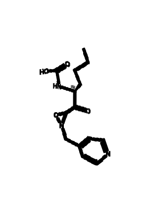 CCCC[C@H](NC(=O)O)C(=O)C1ON1Cc1ccncc1